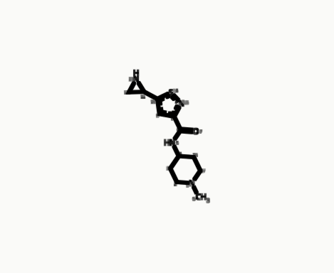 CN1CCC(NC(=O)c2cc(C3CN3)sn2)CC1